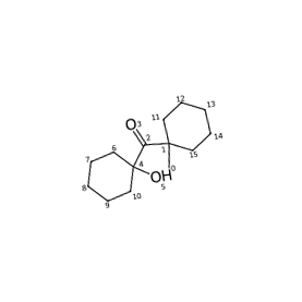 CC1(C(=O)C2(O)CCCCC2)CCCCC1